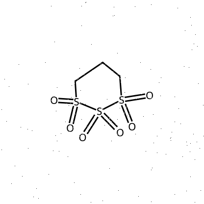 O=S1(=O)CCCS(=O)(=O)S1(=O)=O